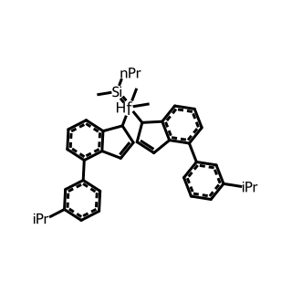 CCC[Si](C)=[Hf]([CH3])([CH3])([CH]1C=Cc2c(-c3cccc(C(C)C)c3)cccc21)[CH]1C=Cc2c(-c3cccc(C(C)C)c3)cccc21